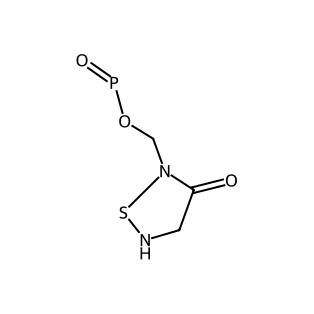 O=POCN1SNCC1=O